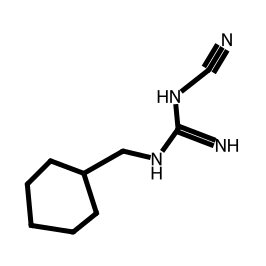 N#CNC(=N)NCC1CCCCC1